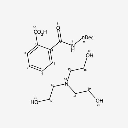 CCCCCCCCCCNC(=O)c1ccccc1C(=O)O.OCCN(CCO)CCO